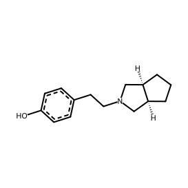 Oc1ccc(CCN2C[C@H]3CCC[C@H]3C2)cc1